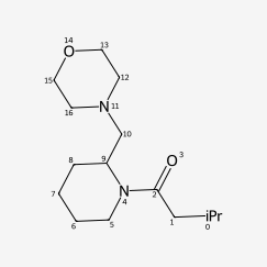 CC(C)CC(=O)N1CCCCC1CN1CCOCC1